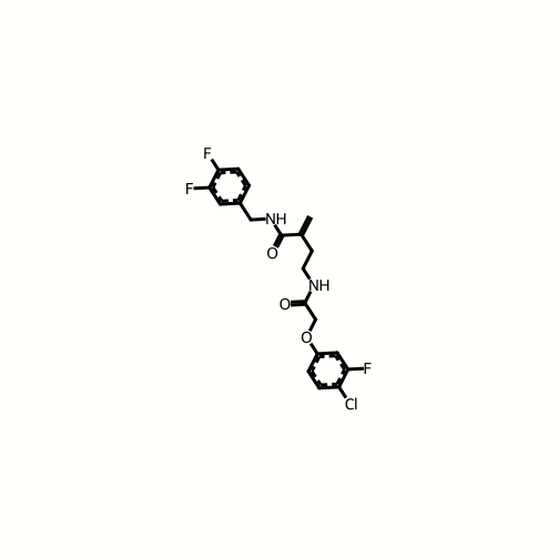 C=C(CCNC(=O)COc1ccc(Cl)c(F)c1)C(=O)NCc1ccc(F)c(F)c1